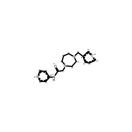 O=C(CN1CCCN(Cc2ccccc2)CC1)Nc1ccncc1